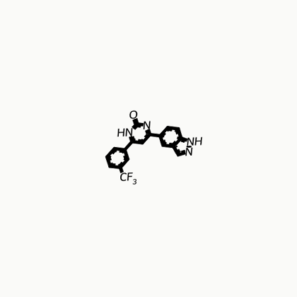 O=c1nc(-c2ccc3[nH]ncc3c2)cc(-c2cccc(C(F)(F)F)c2)[nH]1